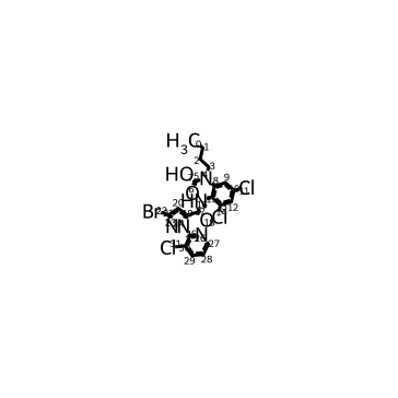 CCCCN(C(=O)O)c1cc(Cl)cc(Cl)c1NC(=O)c1cc(Br)nn1-c1ncccc1Cl